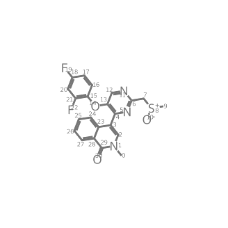 Cn1cc(-c2nc(C[S+](C)[O-])ncc2Oc2ccc(F)cc2F)c2ccccc2c1=O